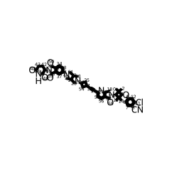 CC1(C)[C@H](Oc2ccc(C#N)c(Cl)c2)C(C)(C)[C@H]1N1Cc2nc(C#CC3CC(N4CC5CN(c6ccc7c(c6)C(=O)N(C6CCC(=O)NC6=O)C7=O)CC5C4)C3)ccc2C1=O